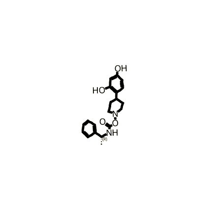 C[C@@H](NC(=O)ON1CCC(c2ccc(O)cc2O)CC1)c1ccccc1